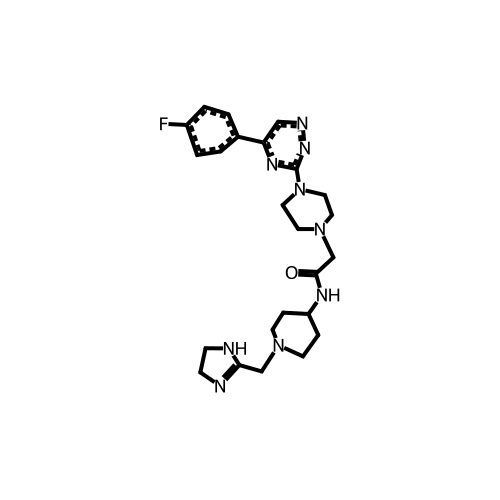 O=C(CN1CCN(c2nncc(-c3ccc(F)cc3)n2)CC1)NC1CCN(CC2=NCCN2)CC1